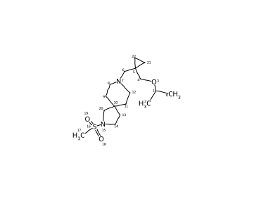 CC(C)OCC1(CN2CCC3(CC2)CCN(S(C)(=O)=O)C3)CC1